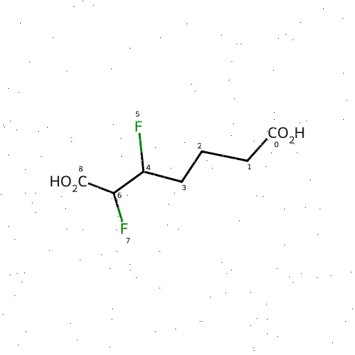 O=C(O)CCCC(F)C(F)C(=O)O